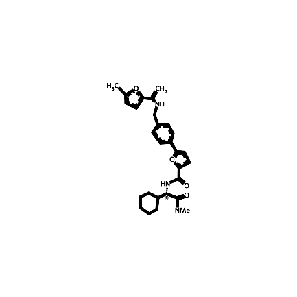 C=C(NCc1ccc(-c2ccc(C(=O)N[C@H](C(=O)NC)C3CCCCC3)o2)cc1)c1ccc(C)o1